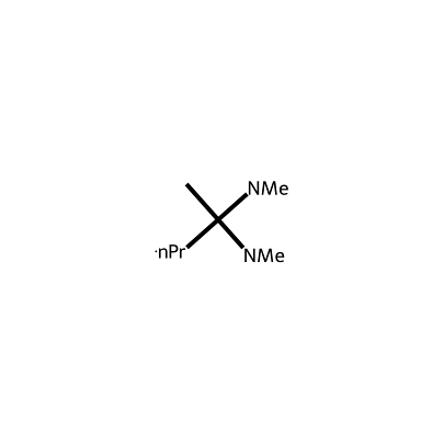 CC[CH]C(C)(NC)NC